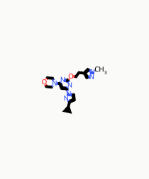 Cn1cc(CCOc2nc(N3CCOCC3)cc(-n3ccc(C4CC4)n3)n2)cn1